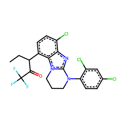 CCC(C(=O)C(F)(F)F)c1ccc(Cl)c2nc3n(c12)CCCN3c1ccc(Cl)cc1Cl